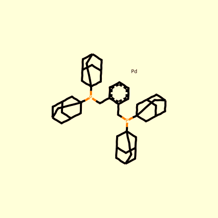 [Pd].c1ccc(CP(C23CC4CC(CC(C4)C2)C3)C23CC4CC(CC(C4)C2)C3)c(CP(C23CC4CC(CC(C4)C2)C3)C23CC4CC(CC(C4)C2)C3)c1